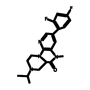 CC(C)N1CCN2c3ncc(-c4ccc(F)cc4F)cc3N(C)C(=O)C2C1